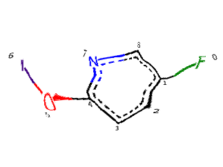 Fc1ccc(OI)nc1